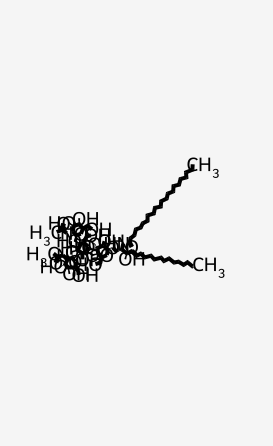 CCCCCCCCCCCCC/C=C/[C@@H](O)[C@H](CO[C@@H]1OC(CO)[C@@H](O[C@@H]2OC(CO)[C@H](O[C@@H]3OC(CO)[C@H](O)[C@H](O)C3NC(C)=O)[C@H](O[C@@H]3OC(CO)[C@@H](O)[C@H](O)C3NC(C)=O)C2O)[C@H](O)C1O)NC(=O)CCCCCCCCCCCCCCCCCCCCC